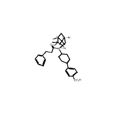 CCOC(=O)c1ccc(C2CCC(N(C(=O)CCc3ccccc3)[C@H]3C[C@@H]4C[C@@H]([C@H]3C)C4(C)C)CC2)cc1